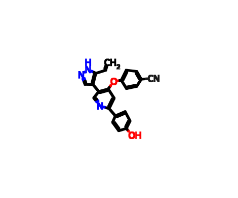 C=Cc1[nH]ncc1-c1cnc(-c2ccc(O)cc2)cc1Oc1ccc(C#N)cc1